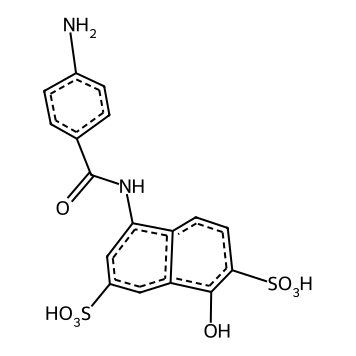 Nc1ccc(C(=O)Nc2cc(S(=O)(=O)O)cc3c(O)c(S(=O)(=O)O)ccc23)cc1